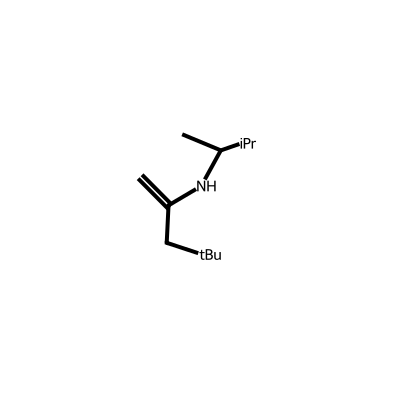 C=C(CC(C)(C)C)NC(C)C(C)C